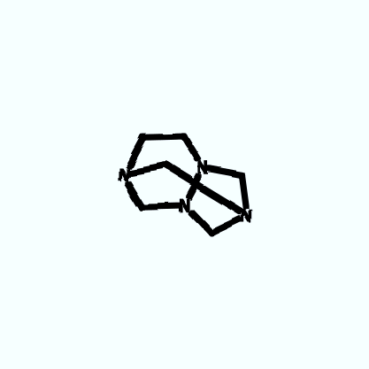 C1CN2CN3CN1CN2C3